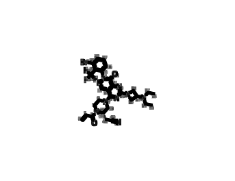 C=CC(=O)N1CCN(c2nc(N3CC(N(CC)CC)C3)nc3c(=O)n(-c4cccc(Br)c4C(F)(F)F)ncc23)C[C@@H]1CC#N